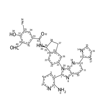 Nc1ncccc1-c1nc2ccc(-c3nccs3)nc2n1-c1ccc2c(c1)CC[C@@H]2NC(=O)c1cc(F)c(O)c(C=O)c1